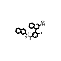 O=C(C=C(c1ccccc1)c1cc(NS(=O)(=O)c2ccc3ccccc3c2)ccc1Cl)NO